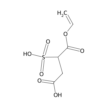 C=COC(=O)C(CC(=O)O)S(=O)(=O)O